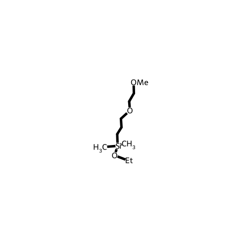 CCO[Si](C)(C)CCCOCCOC